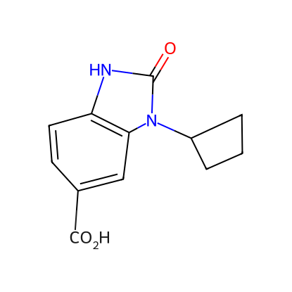 O=C(O)c1ccc2[nH]c(=O)n(C3CCC3)c2c1